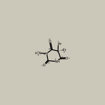 CC[C@]1(C(C)C)C(=O)NC(=O)N(N)C1=O